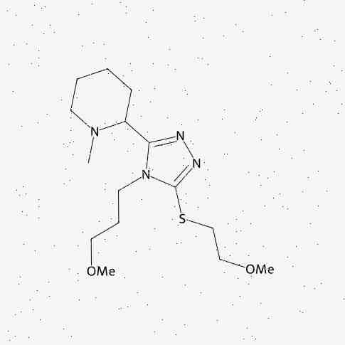 COCCCn1c(SCCOC)nnc1C1CCCCN1C